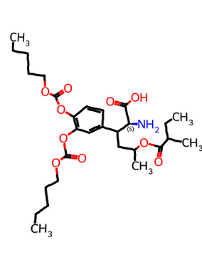 CCCCCOC(=O)Oc1ccc(C(CC(C)OC(=O)C(C)CC)[C@H](N)C(=O)O)cc1OC(=O)OCCCCC